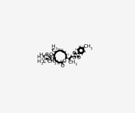 Cc1ccc(S(=O)(=O)OCC(C)[C@H]2CC=CC[C@H](C)[C@@H](O[Si](C)(C)C(C)(C)C)CCCC(=O)O2)cc1